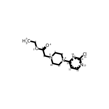 CCOC(=O)CN1CCN(c2ccnc(Cl)n2)CC1